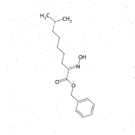 CC(C)CCCCCC(=NO)C(=O)OCc1ccccc1